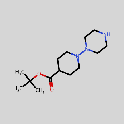 CC(C)(C)OC(=O)C1CCN(N2CCNCC2)CC1